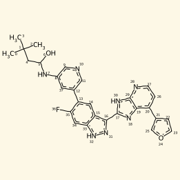 CC(C)(C)CC(O)Nc1cncc(-c2cc3c(-c4nc5c(-c6ccoc6)ccnc5[nH]4)n[nH]c3cc2F)c1